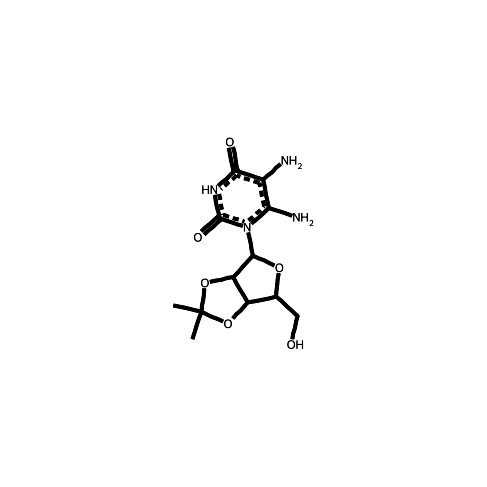 CC1(C)OC2C(CO)OC(n3c(N)c(N)c(=O)[nH]c3=O)C2O1